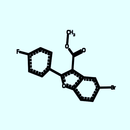 COC(=O)c1c(-c2ccc(F)cc2)oc2ccc(Br)cc12